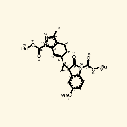 COc1ccc2c(c1)[C@]1(C[C@H]1C1=Cc3c(c(I)nn3C(=O)OC(C)(C)C)CC1)C(=O)N2C(=O)OC(C)(C)C